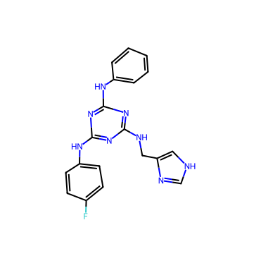 Fc1ccc(Nc2nc(NCc3c[nH]cn3)nc(Nc3ccccc3)n2)cc1